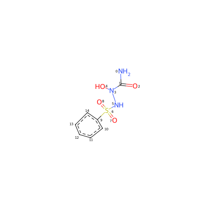 NC(=O)N(O)NS(=O)(=O)c1ccccc1